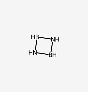 B1NBN1